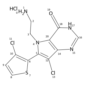 Cl.NCCn1c(-c2sccc2Cl)c(Cl)c2nc[nH]c(=O)c21